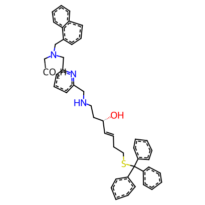 O=C(O)CN(Cc1cccc(CNCC[C@H](O)/C=C/CCSC(c2ccccc2)(c2ccccc2)c2ccccc2)n1)Cc1cccc2ccccc12